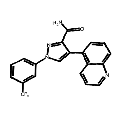 NC(=O)c1nn(-c2cccc(C(F)(F)F)c2)cc1-c1cccc2ncccc12